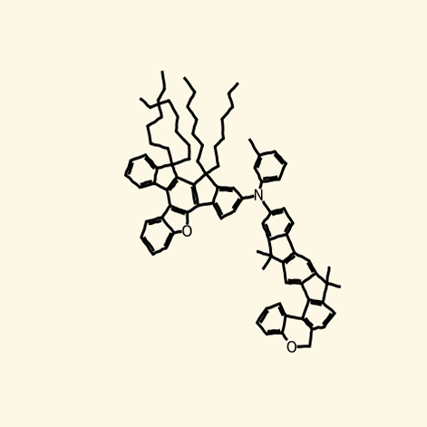 CCCCCCCC1(CCCCCCC)c2cc(N(c3cccc(C)c3)c3ccc4c(c3)C(C)(C)c3cc5c(cc3-4)C(C)(C)c3ccc4c(c3-5)-c3ccccc3OC4)ccc2-c2c1c1c(c3c2oc2ccccc23)-c2ccccc2C1(CCCCCCC)CCCCCCC